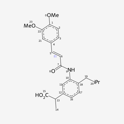 COc1ccc(/C=C/C(=O)Nc2cc(C(C)C(=O)O)ccc2CC(C)C)cc1OC